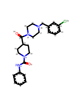 O=C(Nc1ccccc1)N1CCC(C(=O)N2CCN(Cc3cccc(Cl)c3)CC2)CC1